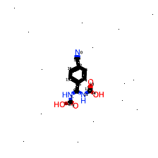 N#Cc1ccc(C(NC(=O)O)NC(=O)O)cc1